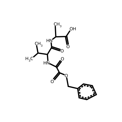 CC(NC(=O)C(NC(=O)C(=O)OCc1ccccc1)C(C)C)C(=O)O